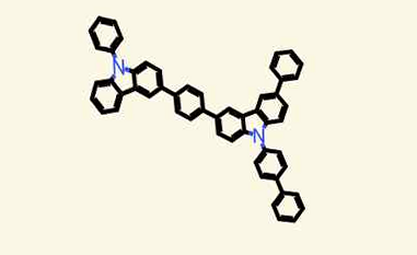 c1ccc(-c2ccc(-n3c4ccc(-c5ccccc5)cc4c4cc(-c5ccc(-c6ccc7c(c6)c6ccccc6n7-c6ccccc6)cc5)ccc43)cc2)cc1